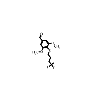 COc1cc(C=O)cc(OC)c1SCCCC(F)(F)F